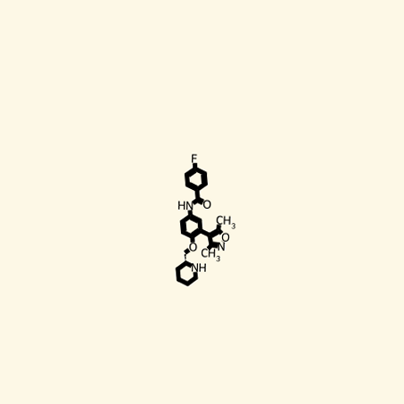 Cc1noc(C)c1-c1cc(NC(=O)c2ccc(F)cc2)ccc1OC[C@H]1CCCCN1